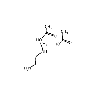 CC(=O)O.CC(=O)O.CNCCN